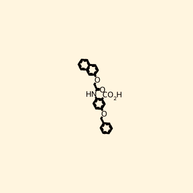 O=C(COc1ccc2ccccc2c1)Nc1ccc(OCc2ccccc2)cc1C(=O)O